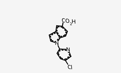 O=C(O)c1ccc2c(ccn2-c2ccc(Cl)cn2)c1